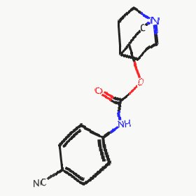 N#Cc1ccc(NC(=O)OC2CN3CCC2CC3)cc1